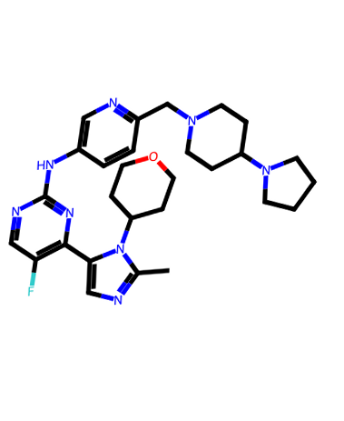 Cc1ncc(-c2nc(Nc3ccc(CN4CCC(N5CCCC5)CC4)nc3)ncc2F)n1C1CCOCC1